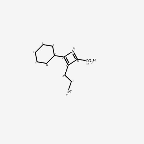 CC(C)CCC1=C(C2CCCCC2)N=C1C(=O)O